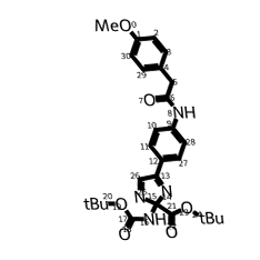 COc1ccc(CC(=O)Nc2ccc(C3=NC(NC(=O)OC(C)(C)C)(C(=O)OC(C)(C)C)N=C3)cc2)cc1